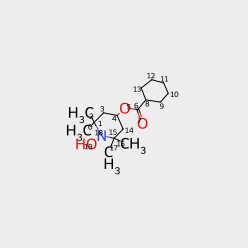 CC1(C)CC(OC(=O)C2CCCCC2)CC(C)(C)N1O